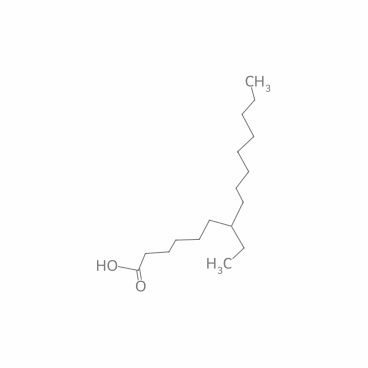 CCCCCCCCC(CC)CCCCCC(=O)O